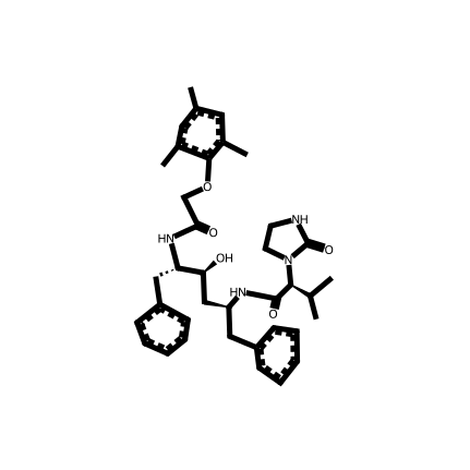 Cc1cc(C)c(OCC(=O)N[C@@H](Cc2ccccc2)[C@@H](O)C[C@H](Cc2ccccc2)NC(=O)[C@H](C(C)C)N2CCNC2=O)c(C)c1